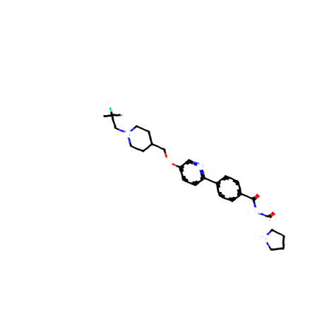 CC(C)(F)CN1CCC(COc2ccc(-c3ccc(C(=O)NC(=O)[C@@H]4CCCN4)cc3)nc2)CC1